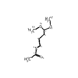 COC(CCCSC(C)=O)OC